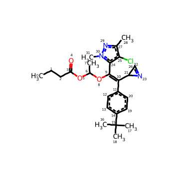 CCCC(=O)OC(C)O/C(=C(\c1ccc(C(C)(C)C)cc1)C1C=N1)c1c(Cl)c(C)nn1C